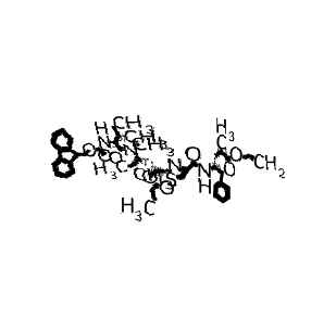 C=CCOC(=O)[C@@H](C)C[C@H](Cc1ccccc1)NC(=O)c1csc([C@@H](C[C@H](C(C)C)N(C)C(=O)[C@@H](NC(=O)OCC2c3ccccc3-c3ccccc32)[C@@H](C)CC)OC(=O)CCC)n1